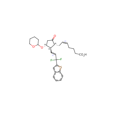 O=C(O)CCC/C=C\C[C@H]1C(=O)C[C@@H](OC2CCCCO2)[C@@H]1/C=C/C(F)(F)c1cc2ccccc2s1